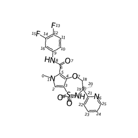 Cn1cc2c(c1C(=O)Nc1ccc(F)c(F)c1)OC[C@@](C)(c1ccccn1)NS2(=O)=O